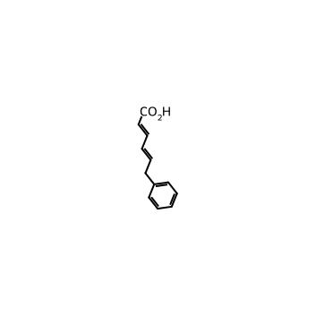 O=C(O)C=CC=CCc1ccccc1